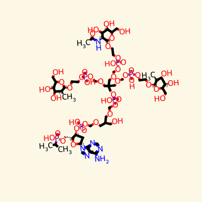 CC(=O)N[C@H]1C(O)[C@@H](O)C(CO)O[C@H]1OCCOP(=O)(O)OCOCC(COCOP(=O)(O)OCCO[C@@H]1OC(CO)[C@H](O)C(O)[C@@H]1C)(COCOP(=O)(O)OCCO[C@@H]1OC(CO)[C@H](O)C(O)[C@@H]1C)COP(=O)(O)OCOCC(CO)COCOP(=O)(O)O[C@H]1C[C@H](n2cnc3c(N)ncnc32)O[C@@H]1COP(=O)(O)C(C)C